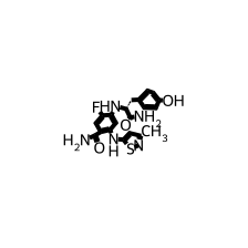 Cc1cc(Nc2cc(N[C@H](Cc3ccc(O)cc3)C(N)=O)c(F)cc2C(N)=O)sn1